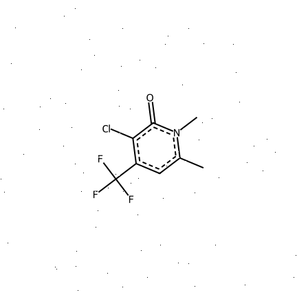 Cc1cc(C(F)(F)F)c(Cl)c(=O)n1C